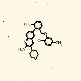 Cc1ccc(Cl)c(OCc2cccc(C)c2-c2ccc3nc(N)c(N4CCOCC4)cc3c2)c1